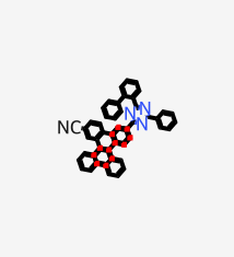 N#Cc1ccc(-c2ccccc2-c2cc3ccccc3c3ccccc23)c(-c2ccccc2-c2ccc(-c3nc(-c4ccccc4)nc(-c4ccccc4-c4ccccc4)n3)cc2)c1